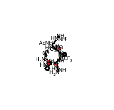 CC(=O)N[C@@H](CCCNC(=N)N)C(=O)N[C@H]1CCCNC(=O)CC[C@@H](C(N)=O)NC(=O)C(Cc2c[nH]c3ccccc23)NC(=O)[C@H](CCCNC(=N)N)NC(=O)[C@@H](Cc2ccccc2C(F)(F)F)NC(=O)[C@H](CC(N)=O)NC1=O